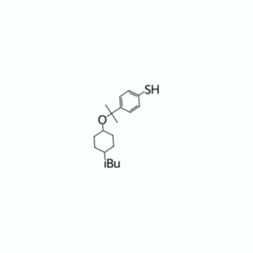 CCC(C)C1CCC(OC(C)(C)c2ccc(S)cc2)CC1